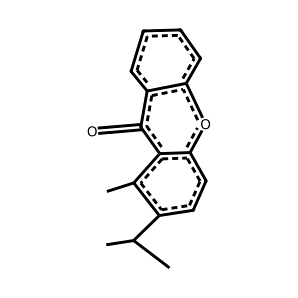 Cc1c(C(C)C)ccc2oc3ccccc3c(=O)c12